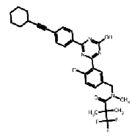 CN(Cc1ccc(Cl)c(-c2nc(O)nc(-c3ccc(C#CC4CCCCC4)cc3)n2)c1)C(=O)C(C)(C)C(F)(F)F